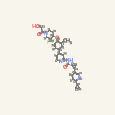 Cc1cc(-c2ccnc(NC(=O)[C@@H]3C[C@H]3c3ccc(C4CC4)nc3)c2)ccc1O[C@H]1CCN(C(=O)CO)CC1(F)F